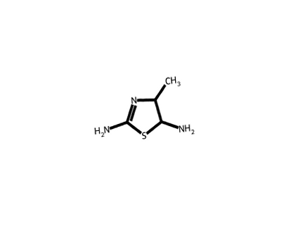 CC1N=C(N)SC1N